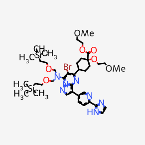 COCCOC(=O)C1(OCCOC)CCC(c2nc3c(-c4ccc(-c5ncc[nH]5)nc4)cnn3c(N(COCC[Si](C)(C)C)COCC[Si](C)(C)C)c2Br)CC1